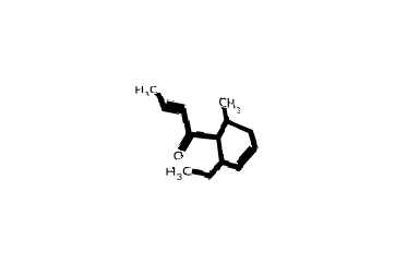 CC=CC(=O)C1C(C)CC=CC1CC